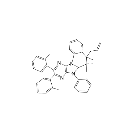 C=CCC1(C)c2ccccc2N2c3nc(-c4ccccc4C)c(-c4ccccc4C)nc3N(c3ccccc3)C2C1(C)C